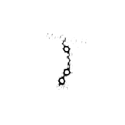 CO[C@@H](Cc1ccc(OCCCOc2ccc(-c3ccc(O)cc3)cc2)cc1)C(=O)O